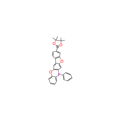 CC1(C)OB(c2ccc3c(c2)oc2cc4c(cc23)Oc2ccccc2P4c2ccccc2)OC1(C)C